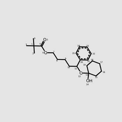 CC(C)(C)C(=O)OCCCCC(OC1(O)CCCCC1)c1ccccc1